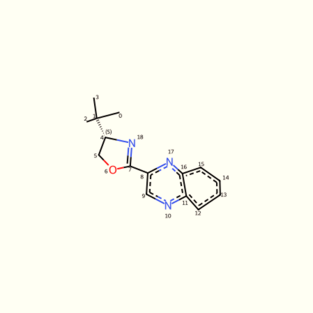 CC(C)(C)[C@H]1COC(c2cnc3ccccc3n2)=N1